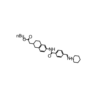 CCCCOC(=O)CC1CCc2cc(NC(=O)c3ccc(/C=N/N4CCCCC4)cc3)ccc2C1